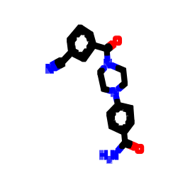 N#Cc1cccc(C(=O)N2CCN(c3ccc(C(N)=O)cc3)CC2)c1